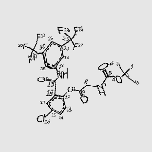 CC(C)(C)OC(=O)NCC(=O)Oc1ccc(Cl)cc1C(=O)Nc1cc(C(F)(F)F)cc(C(F)(F)F)c1